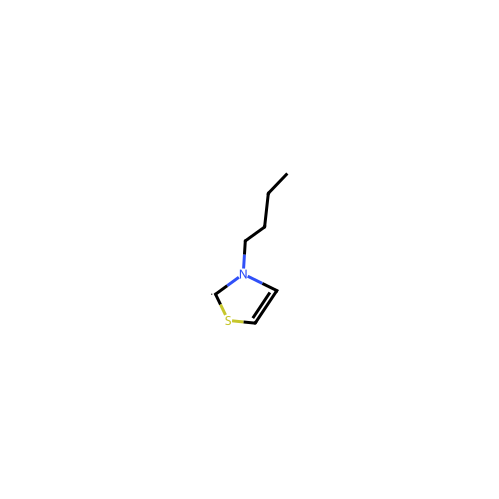 CCCCN1[CH]SC=C1